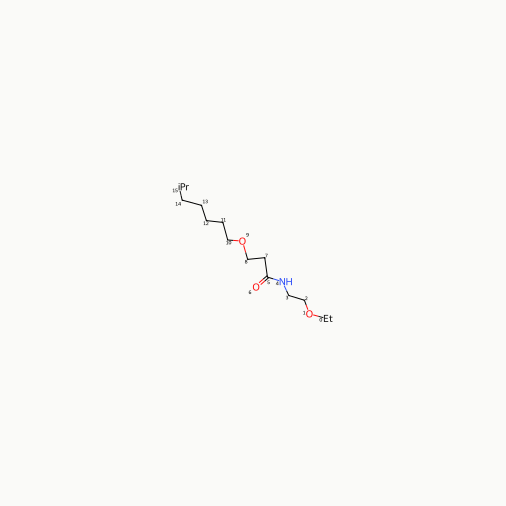 CCOCCNC(=O)CCOCCCCCC(C)C